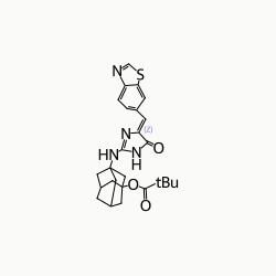 CC(C)(C)C(=O)OC12CC3CC(CC(NC4=N/C(=C\c5ccc6ncsc6c5)C(=O)N4)(C3)C1)C2